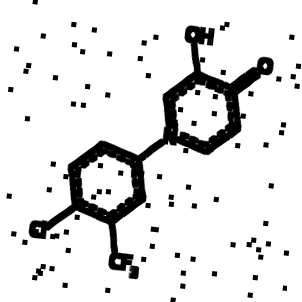 O=c1ccn(-c2ccc(Cl)c(C(F)(F)F)c2)cc1O